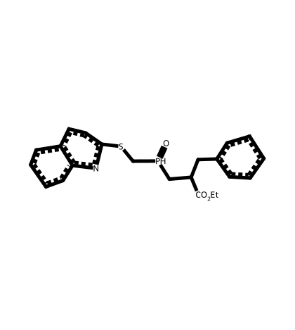 CCOC(=O)C(Cc1ccccc1)C[PH](=O)CSc1ccc2ccccc2n1